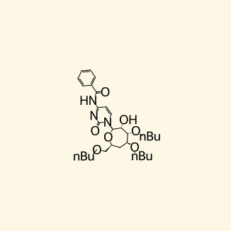 CCCCOC[C@@H]1C[C@H](OCCCC)[C@@H](OCCCC)[C@@H](O)[C@H](n2ccc(NC(=O)c3ccccc3)nc2=O)O1